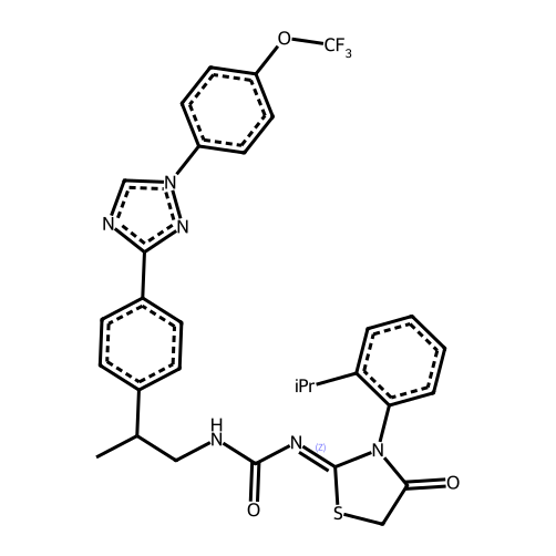 CC(C)c1ccccc1N1C(=O)CS/C1=N\C(=O)NCC(C)c1ccc(-c2ncn(-c3ccc(OC(F)(F)F)cc3)n2)cc1